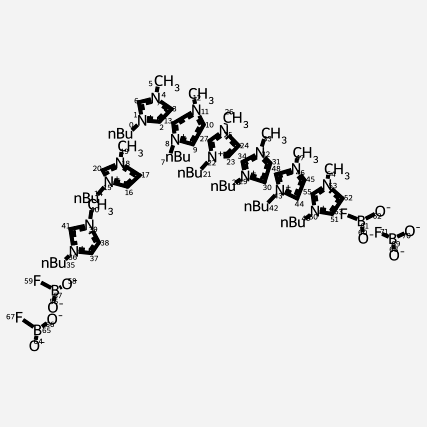 CCCC[n+]1ccn(C)c1.CCCC[n+]1ccn(C)c1.CCCC[n+]1ccn(C)c1.CCCC[n+]1ccn(C)c1.CCCC[n+]1ccn(C)c1.CCCC[n+]1ccn(C)c1.CCCC[n+]1ccn(C)c1.CCCC[n+]1ccn(C)c1.[O-]B([O-])F.[O-]B([O-])F.[O-]B([O-])F.[O-]B([O-])F